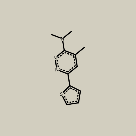 Cc1cc(-c2cccs2)nnc1N(C)C